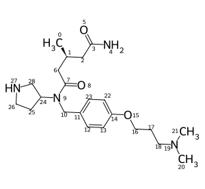 C[C@@H](CC(N)=O)CC(=O)N(Cc1ccc(OCCCN(C)C)cc1)C1CCNC1